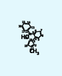 CC1=CC(c2ccccc2C(O)c2ccccc2)C=C1